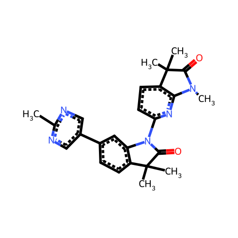 Cc1ncc(-c2ccc3c(c2)N(c2ccc4c(n2)N(C)C(=O)C4(C)C)C(=O)C3(C)C)cn1